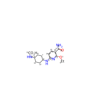 CCOc1nc(NC2CCC(NC(=O)O)CC2)ccc1C(N)=O